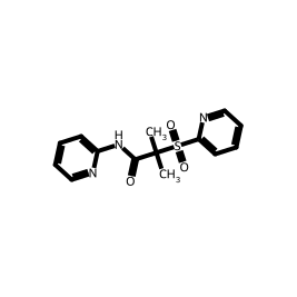 CC(C)(C(=O)Nc1ccccn1)S(=O)(=O)c1ccccn1